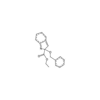 CCOC(=O)C1(OCc2ccccc2)C=c2ccccc2=N1